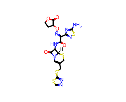 Nc1nc(C(=NOC2CCOC2=O)C(=O)NC2C(=O)N3C=C(CSc4nncs4)CS[C@@H]23)ns1